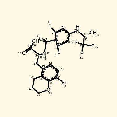 C[C@@H](Nc1cc(F)c(C(=O)N[C@@H](Cc2ccc(Br)c3c2CCCO3)C(=O)O)c(F)c1)C(F)(F)F